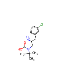 CC(C)(C)N(C[C@@H](N)Cc1cccc(Cl)c1)C(=O)O